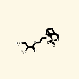 CCC(C)C(=O)OCCOC1C2CC3C1OS(=O)(=O)C3C2